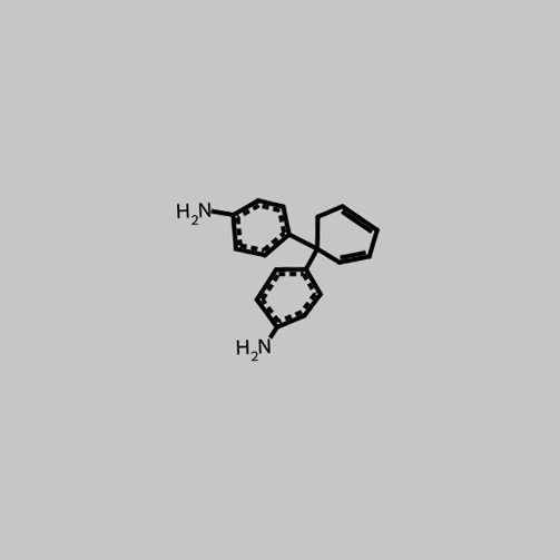 Nc1ccc(C2(c3ccc(N)cc3)C=CC=CC2)cc1